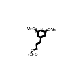 COc1cc(/C=C/CO[C]=O)cc(OC)c1